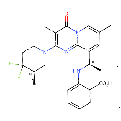 Cc1cc([C@@H](C)Nc2ccccc2C(=O)O)c2nc(N3CCC(F)(F)[C@H](C)C3)c(C)c(=O)n2c1